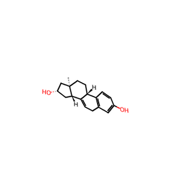 C[C@]12CC[C@H]3C(=CCc4cc(O)ccc43)[C@@H]1C[C@H](O)C2